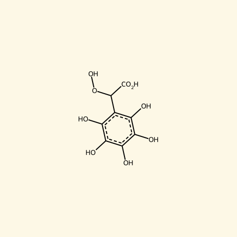 O=C(O)C(OO)c1c(O)c(O)c(O)c(O)c1O